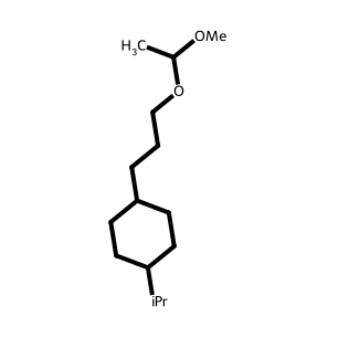 COC(C)OCCCC1CCC(C(C)C)CC1